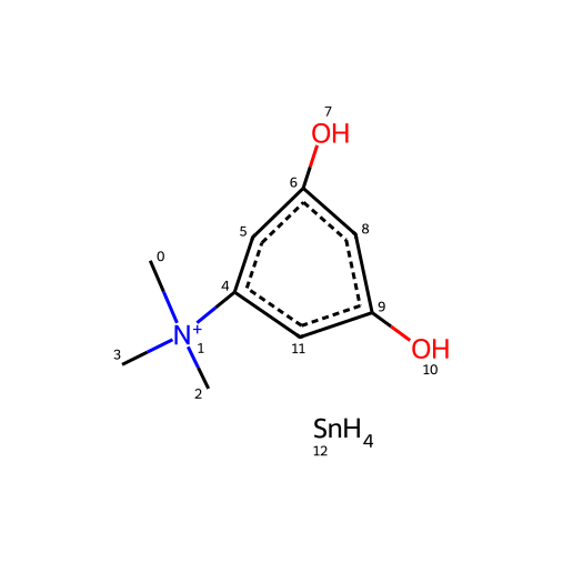 C[N+](C)(C)c1cc(O)cc(O)c1.[SnH4]